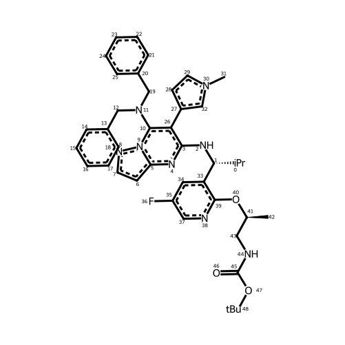 CC(C)[C@@H](Nc1nc2ccnn2c(N(Cc2ccccc2)Cc2ccccc2)c1-c1ccn(C)c1)c1cc(F)cnc1O[C@@H](C)CNC(=O)OC(C)(C)C